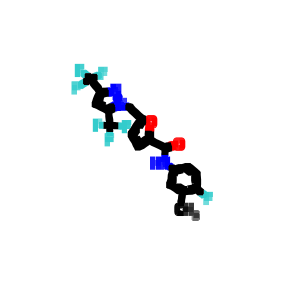 Cc1cc(NC(=O)c2ccc(Cn3nc(C(F)(F)F)cc3C(F)(F)F)o2)ccc1F